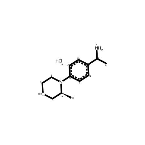 CC(N)c1ccc(N2CCOC[C@@H]2C)cc1.Cl